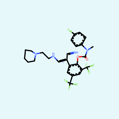 CN(C(=O)Oc1c(/C(C=N)=C/NCCN2CCCCC2)cc(C(F)(F)F)cc1C(F)(F)F)c1ccc(F)cc1